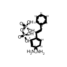 NC1(N)C=CC(C=Cc2ccccc2)=CC1.O=P(O)(O)OP(=O)(O)O